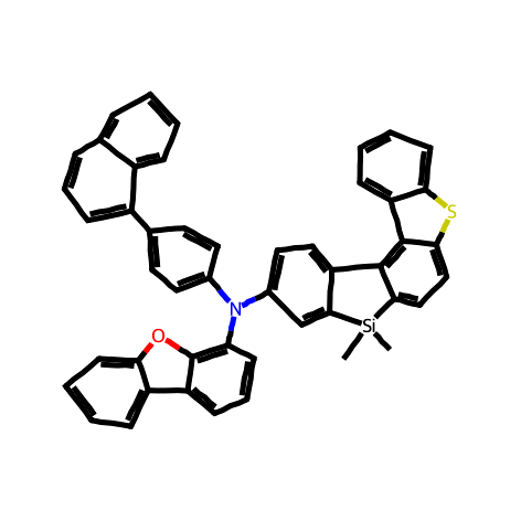 C[Si]1(C)c2cc(N(c3ccc(-c4cccc5ccccc45)cc3)c3cccc4c3oc3ccccc34)ccc2-c2c1ccc1sc3ccccc3c21